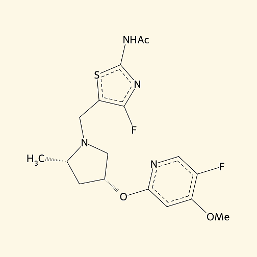 COc1cc(O[C@@H]2C[C@H](C)N(Cc3sc(NC(C)=O)nc3F)C2)ncc1F